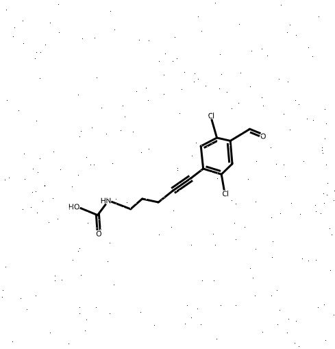 O=Cc1cc(Cl)c(C#CCCCNC(=O)O)cc1Cl